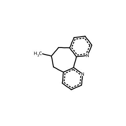 CC1Cc2cccnc2-c2ncccc2C1